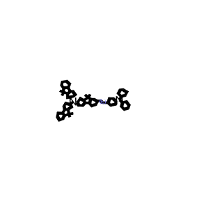 CC1(C)C2=C(C=CCC2)c2ccc(N(c3ccc4c(c3)C(C)(C)c3ccccc3-4)c3ccc4c(c3)C(C)(C)c3cc(/C=C/c5ccc(N(c6ccccc6)c6ccccc6)cc5)ccc3-4)cc21